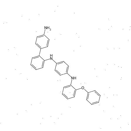 Nc1ccc(-c2ccccc2Nc2ccc(Nc3ccccc3Oc3ccccc3)cc2)cc1